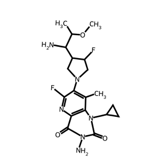 COC(C)C(N)C1CN(c2c(F)nc3c(=O)n(N)c(=O)n(C4CC4)c3c2C)CC1F